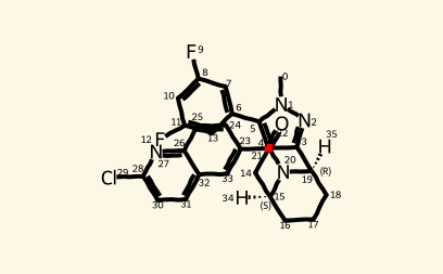 Cn1nc2c(c1-c1cc(F)cc(F)c1)C[C@@H]1CCC[C@H]2N1C(=O)c1ccc2nc(Cl)ccc2c1